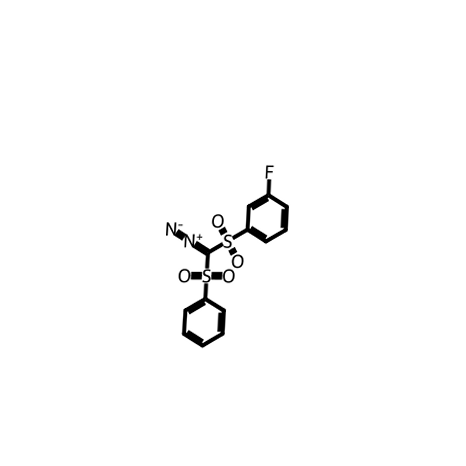 [N-]=[N+]=C(S(=O)(=O)c1ccccc1)S(=O)(=O)c1cccc(F)c1